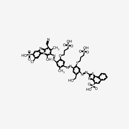 Cc1cc(N=Nc2c(C)c(C#N)c3nc4cc(S(=O)(=O)O)c(Cl)cc4n3c2O)c(OCCCS(=O)(=O)O)cc1N=Nc1cc(CO)c(N=Nc2nc3c(S(=O)(=O)O)cc4ccccc4c3s2)cc1SCCCS(=O)(=O)O